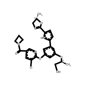 C[C@H]1CN=C(c2ccc(-c3cc(Oc4ncc(C(=O)N5CCC5)cc4Cl)cc(O[C@@H](C)CO)c3)[nH]2)O1